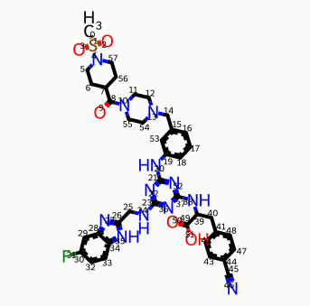 CS(=O)(=O)N1CCC(C(=O)N2CCN(Cc3cccc(Nc4nc(NCc5nc6cc(F)ccc6[nH]5)nc(NC(Cc5ccc(C#N)cc5)C(=O)O)n4)c3)CC2)CC1